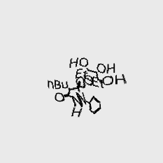 CCCCC1C(=O)NN(c2ccccc2)C1=O.CCOCC.OCC(O)CO